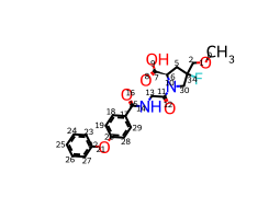 COCC1(F)C[C@H](C(=O)O)N(C(=O)CNC(=O)c2ccc(Oc3ccccc3)cc2)C1